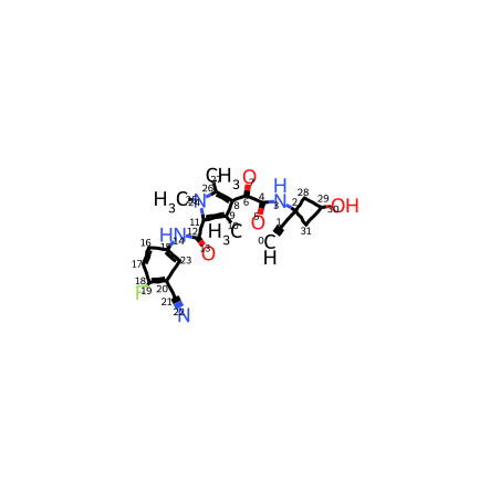 C#CC1(NC(=O)C(=O)c2c(C)c(C(=O)Nc3ccc(F)c(C#N)c3)n(C)c2C)CC(O)C1